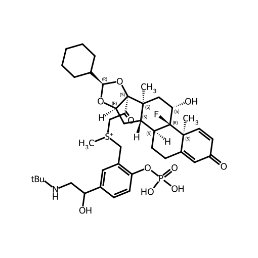 C[S+](CC(=O)[C@@]12O[C@H](C3CCCCC3)O[C@@H]1C[C@H]1[C@@H]3CCC4=CC(=O)C=C[C@]4(C)[C@@]3(F)[C@@H](O)C[C@@]12C)Cc1cc(C(O)CNC(C)(C)C)ccc1OP(=O)(O)O